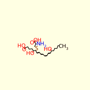 CCCCC[C@H](O)/C=C/C=C\C=C\C=C\[C@@H](SC[C@H](N)C(=O)O)[C@@H](O)CCCC(=O)O